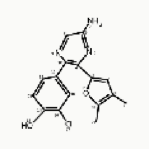 Cc1cc(-c2nc(N)cnc2-c2ccc(O)c(Cl)c2)oc1C